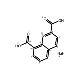 O=C(O)c1ccc2cccc(C(=O)O)c2n1.[NaH]